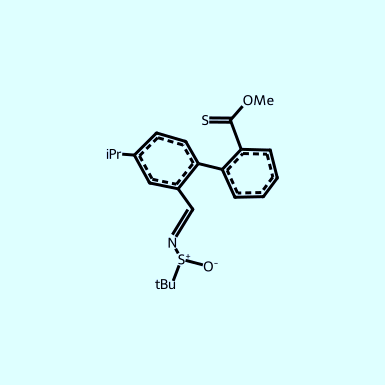 COC(=S)c1ccccc1-c1ccc(C(C)C)cc1/C=N/[S+]([O-])C(C)(C)C